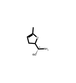 CC1=CCC([C@H](N)C(C)(C)C)O1